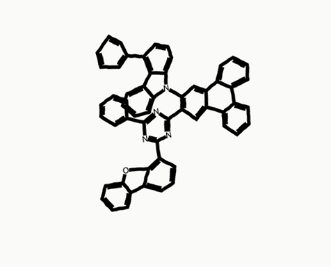 c1ccc(-c2nc(-c3cc4c5ccccc5c5ccccc5c4cc3-n3c4ccccc4c4c(-c5ccccc5)cccc43)nc(-c3cccc4c3oc3ccccc34)n2)cc1